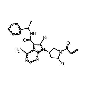 C=CC(=O)N1C[C@H](n2c(Br)c(C(=O)N[C@H](C)c3ccccc3)c3c(N)ncnc32)C[C@@H]1CC